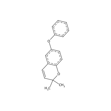 CC1(C)C=Cc2cc(Oc3ccccc3)ccc2O1